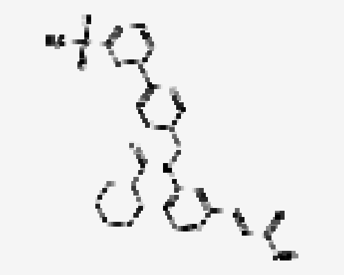 COC(=O)/C=C/c1cccc(N(Cc2ccc(-c3cccc(S(C)(=O)=O)c3)cc2)C(=O)C2CCCCC2)c1